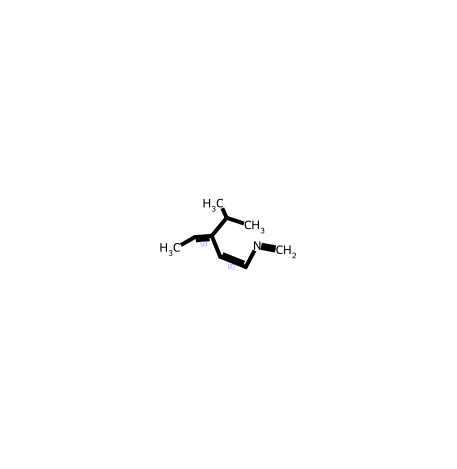 C=N/C=C\C(=C/C)C(C)C